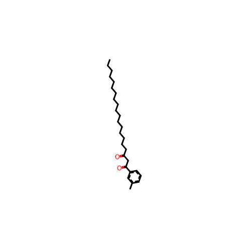 CCCCCCCCCCCCCCCCCC(=O)CC(=O)c1cccc(C)c1